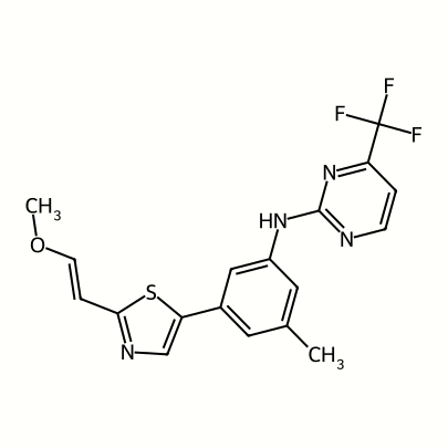 COC=Cc1ncc(-c2cc(C)cc(Nc3nccc(C(F)(F)F)n3)c2)s1